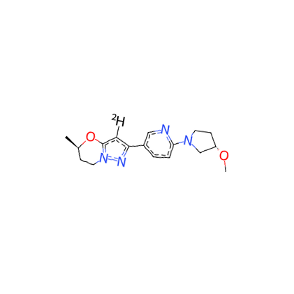 [2H]c1c(-c2ccc(N3CC[C@H](OC)C3)nc2)nn2c1O[C@H](C)CC2